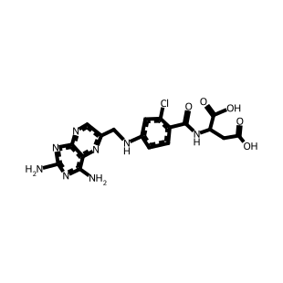 Nc1nc(N)c2nc(CNc3ccc(C(=O)NC(CC(=O)O)C(=O)O)c(Cl)c3)cnc2n1